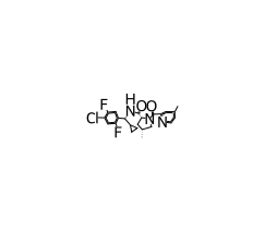 Cc1ccnc(C(=O)N2C[C@H](C)C[C@@H]2C(=O)N[C@@H](c2cc(F)c(Cl)cc2F)C2CC2)c1